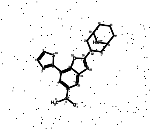 C[S+]([O-])c1cc(-c2nccs2)c2oc(N3CC4CCCC(C3)N4)nc2c1